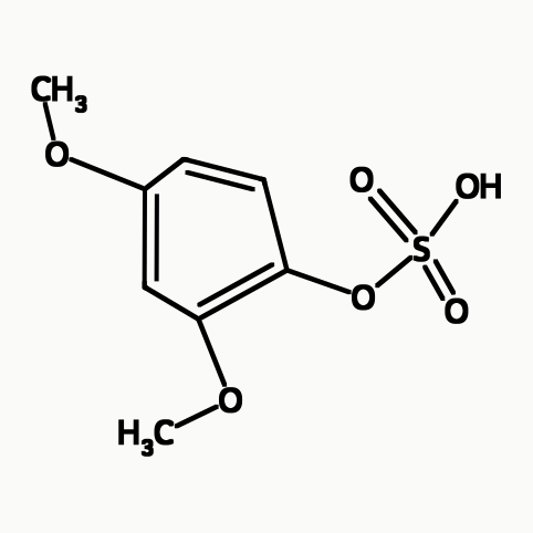 COc1ccc(OS(=O)(=O)O)c(OC)c1